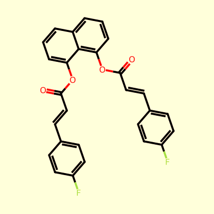 O=C(/C=C/c1ccc(F)cc1)Oc1cccc2cccc(OC(=O)/C=C/c3ccc(F)cc3)c12